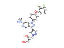 CCNc1cc2c(cn1)c(-c1cnn(C[C@@H](O)CO)c1)nn2C1CCC(Oc2cccc(F)c2F)CC1